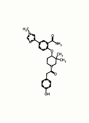 Cn1cnc(-c2ccc(OC3CCN(C(=O)Cc4ccc(O)cc4)CC3(C)C)c(C(N)=O)c2)c1